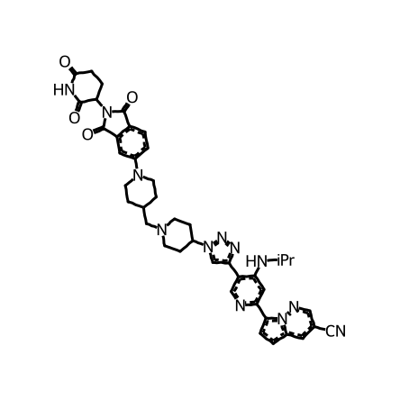 CC(C)Nc1cc(-c2ccc3cc(C#N)cnn23)ncc1-c1cn(C2CCN(CC3CCN(c4ccc5c(c4)C(=O)N(C4CCC(=O)NC4=O)C5=O)CC3)CC2)nn1